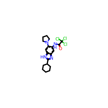 O=C(Nc1cc2nc(C3CCCCC3)[nH]c2cc1N1CCCC1)C(Cl)(Cl)Cl